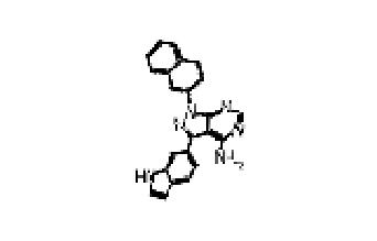 Nc1ncnc2c1c(-c1ccc3cc[nH]c3c1)nn2C1CCc2ccccc2C1